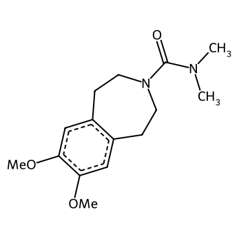 COc1cc2c(cc1OC)CCN(C(=O)N(C)C)CC2